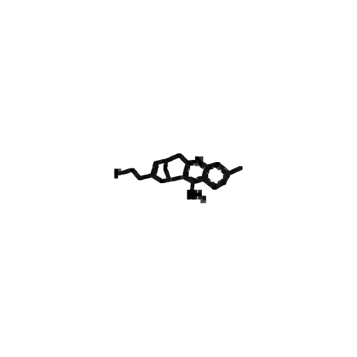 Cc1ccc2c(N)c3c(nc2c1)CC1C=C(CCF)CC3C1